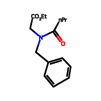 [CH2]CCC(=O)N(CC(=O)OCC)Cc1ccccc1